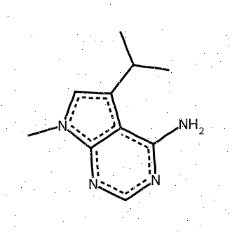 CC(C)c1cn(C)c2ncnc(N)c12